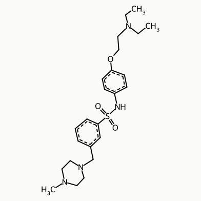 CCN(CC)CCOc1ccc(NS(=O)(=O)c2cccc(CN3CCN(C)CC3)c2)cc1